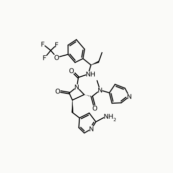 CC[C@@H](NC(=O)N1C(=O)[C@H](Cc2ccnc(N)c2)[C@H]1C(=O)N(C)c1ccncc1)c1cccc(OC(F)(F)F)c1